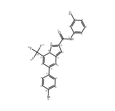 O=C(Nc1cccc(Cl)c1)c1cc2nc(-c3ccc(Br)cc3)cc(C(F)(F)F)n2n1